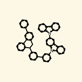 c1ccc(-c2ccc3c(c2)-c2ccccc2C(c2cccc(-c4cccc(-n5c6ccccc6c6cc(-n7c8ccccc8c8ccccc87)ccc65)c4)c2)C3)cc1